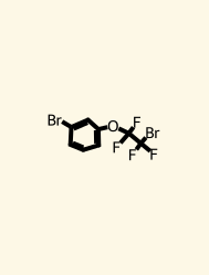 FC(F)(Br)C(F)(F)Oc1cccc(Br)c1